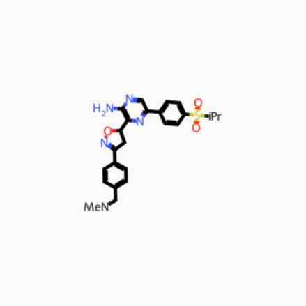 CNCc1ccc(C2=NOC(c3nc(-c4ccc(S(=O)(=O)C(C)C)cc4)cnc3N)C2)cc1